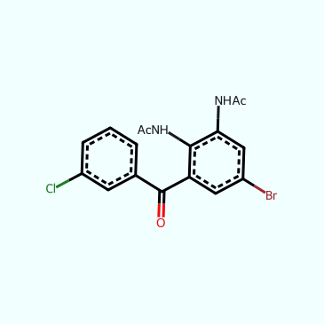 CC(=O)Nc1cc(Br)cc(C(=O)c2cccc(Cl)c2)c1NC(C)=O